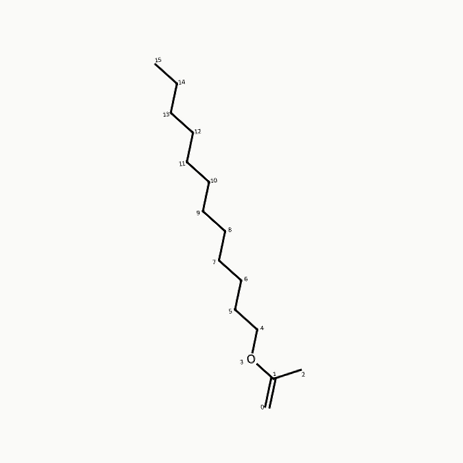 C=C(C)OCCCCCCCCCCCC